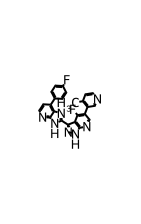 Cc1ccncc1-c1cnc2[nH]nc(-c3nc4c(-c5ccc(F)cc5)ccnc4[nH]3)c2c1F